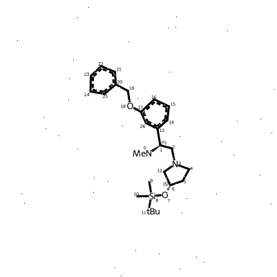 CN[C@H](CN1CC[C@H](O[Si](C)(C)C(C)(C)C)C1)c1cccc(OCc2ccccc2)c1